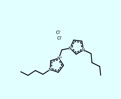 CCCCn1cc[n+](C[n+]2ccn(CCCC)c2)c1.[Cl-].[Cl-]